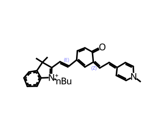 CCCC[N+]1=C(/C=C/C2=CC(=C/C=C3C=CN(C)C=C3)/C(=O)C=C2)C(C)(C)c2ccccc21